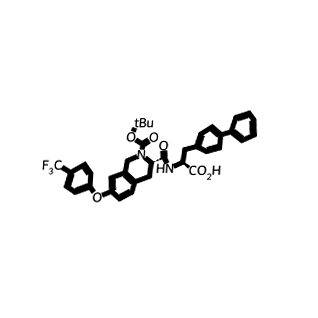 CC(C)(C)OC(=O)N1Cc2cc(Oc3ccc(C(F)(F)F)cc3)ccc2C[C@H]1C(=O)N[C@@H](Cc1ccc(-c2ccccc2)cc1)C(=O)O